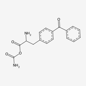 NC(=O)OC(=O)C(N)Cc1ccc(C(=O)c2ccccc2)cc1